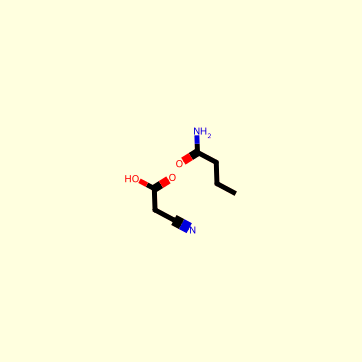 CCCC(N)=O.N#CCC(=O)O